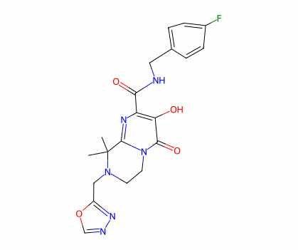 CC1(C)c2nc(C(=O)NCc3ccc(F)cc3)c(O)c(=O)n2CCN1Cc1nnco1